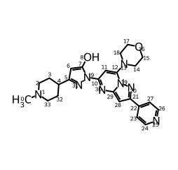 CN1CCC(c2cc(O)n(-c3cc(N4CCOCC4)n4nc(-c5ccncc5)cc4n3)n2)CC1